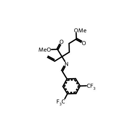 C=CC(CCC(=O)OC)(/N=C/c1cc(C(F)(F)F)cc(C(F)(F)F)c1)C(=O)OC